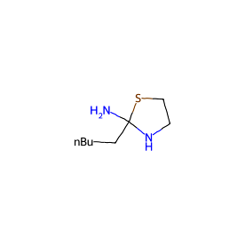 CCCCCC1(N)NCCS1